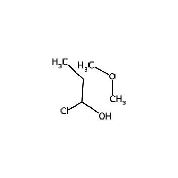 CCC(O)Cl.COC